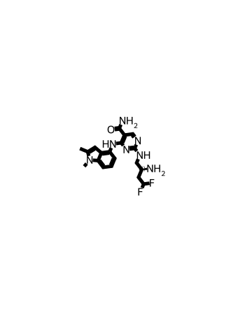 Cc1cc2c(Nc3nc(NC[C@@H](N)CC(F)F)ncc3C(N)=O)cccc2n1C